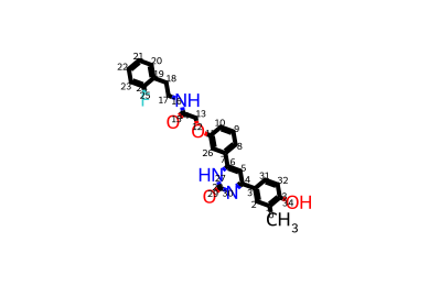 Cc1cc(-c2cc(-c3cccc(OCC(=O)NCCc4ccccc4F)c3)[nH]c(=O)n2)ccc1O